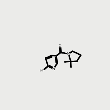 CC(C)c1ccc(C(=O)N2CCCC2(C)C)cn1